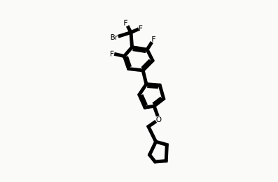 Fc1cc(-c2ccc(OCC3CCCC3)cc2)cc(F)c1C(F)(F)Br